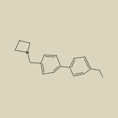 CCc1ccc(-c2ccc(CN3CCC3)cc2)cc1